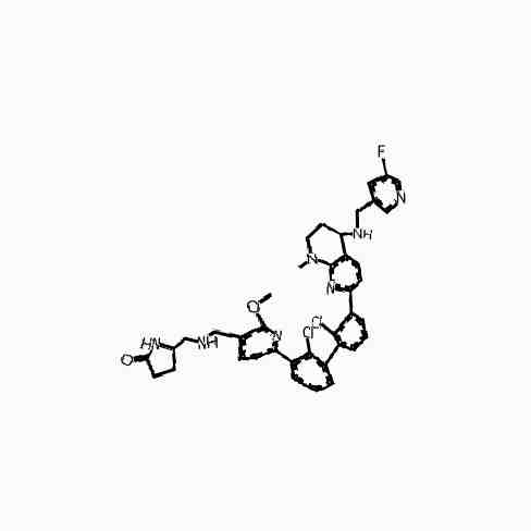 COc1nc(-c2cccc(-c3cccc(-c4ccc5c(n4)N(C)CCC5NCc4cncc(F)c4)c3Cl)c2Cl)ccc1CNCC1CCC(=O)N1